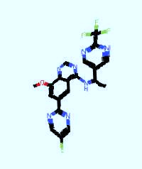 COc1cc(-c2ncc(F)cn2)cc2c(NC(C)c3cnc(C(F)(F)F)nc3)ncnc12